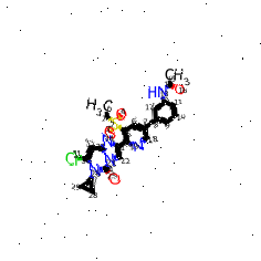 CCS(=O)(=O)c1cc(-c2cccc(NC(C)=O)c2)cnc1-c1cn2c(=O)n(C3CC3)c(Cl)cc2n1